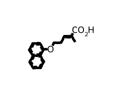 CC(=CCCOc1cccc2ccccc12)C(=O)O